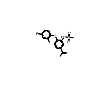 CC(=O)c1ccc(Sc2ccc(F)cc2F)c(NS(C)(=O)=O)c1